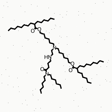 CCCCCCCCC(CCCCCC)C(=O)OCCCCCCN(CCCCCCOC(=O)C(CCCCCC)CCCCCCCC)CCNCCCC(=O)N(CCCCCC)CCCCCC